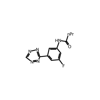 CCCC(=O)Nc1cc(F)cc(-c2nncnn2)c1